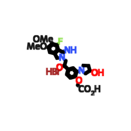 Br.COc1cc2c(c(F)c1OC)C(=N)N(CC(=O)c1ccc(OCC(=O)O)c(N3CCC(O)C3)c1)C2